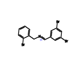 Brc1cc(Br)cc(/C=N/Cc2ccccc2Br)c1